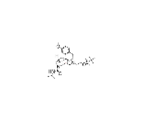 COc1ccc2c(c1)C13CCN(CCO[Si](C)(C)C(C)(C)C)C(C2)C12CCC1C3[C@@H](CN1C(=O)NC(C)C)C2